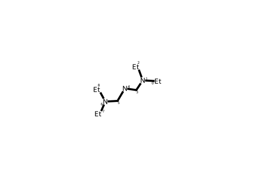 CCN(CC)C[N]CN(CC)CC